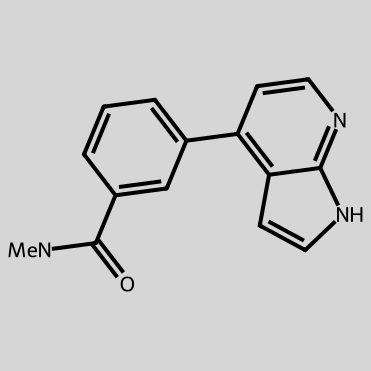 CNC(=O)c1cccc(-c2ccnc3[nH]ccc23)c1